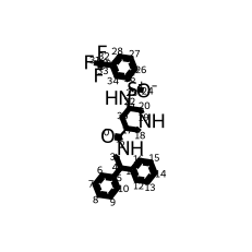 O=C(NCC(c1ccccc1)c1ccccc1)[C@@H]1CNC[C@H](N[S+]([O-])c2cccc(C(F)(F)F)c2)C1